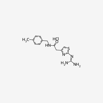 Cc1ccc(CNC(=O)Cc2csc(N=C(N)N)n2)cc1.Cl